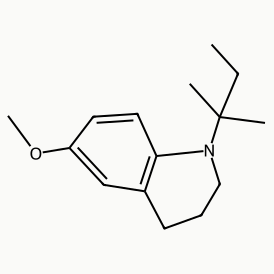 CCC(C)(C)N1CCCc2cc(OC)ccc21